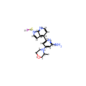 CC1COCCN1c1cc(N)nc(-c2ccnc3c2ccn3SI)c1